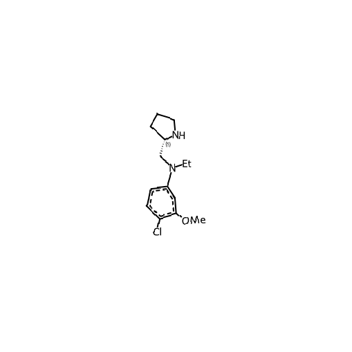 CCN(C[C@@H]1CCCN1)c1ccc(Cl)c(OC)c1